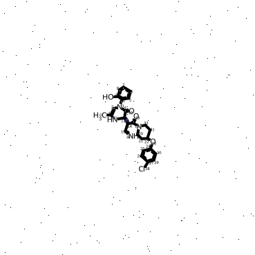 CC1=CN(c2ccccc2O)C(=O)/C(=C(/C=N)C(=O)N2CCC(Oc3ccc(Cl)cc3)CC2)N1